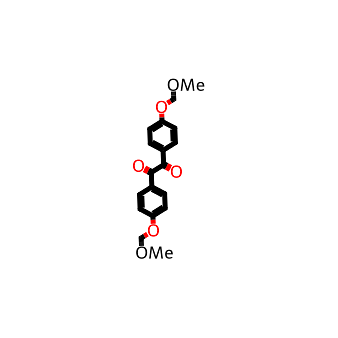 COCOc1ccc(C(=O)C(=O)c2ccc(OCOC)cc2)cc1